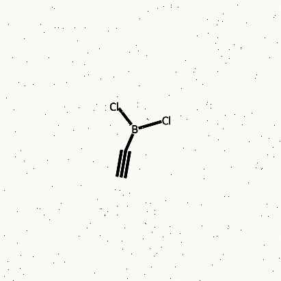 C#CB(Cl)Cl